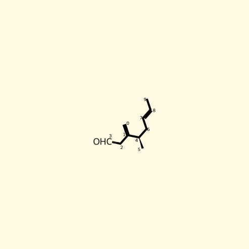 C=C(CC=O)[C@H](C)C/C=C/C